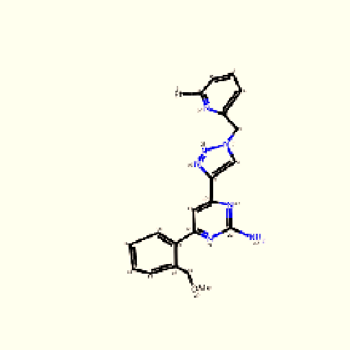 CCc1cccc(Cn2cc(-c3cc(-c4ccccc4COC)nc(N)n3)nn2)n1